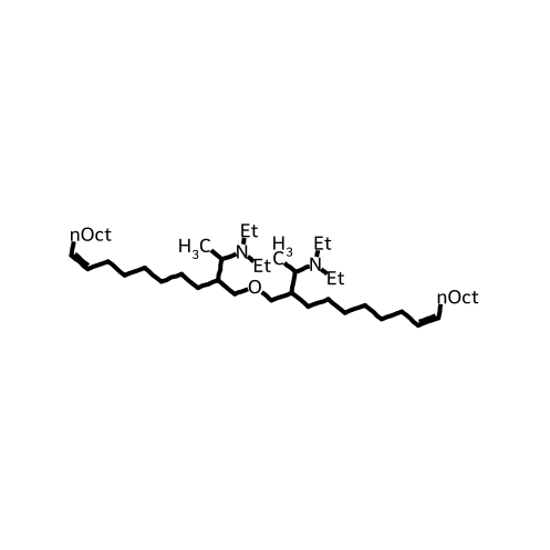 CCCCCCCC/C=C\CCCCCCC(COCC(CCCCCC/C=C\CCCCCCCC)C(C)N(CC)CC)C(C)N(CC)CC